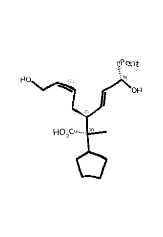 CCCCC[C@H](O)C=C[C@H](C/C=C\CO)[C@](C)(C(=O)O)C1CCCC1